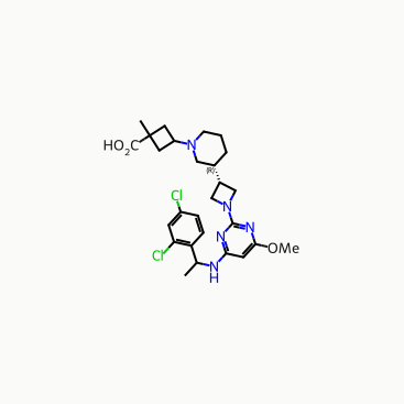 COc1cc(NC(C)c2ccc(Cl)cc2Cl)nc(N2CC([C@H]3CCCN(C4CC(C)(C(=O)O)C4)C3)C2)n1